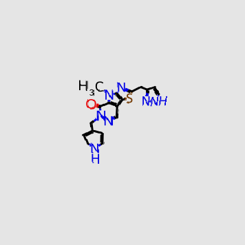 Cn1c2nc(Cc3cc[nH]n3)sc2c2cnn(CC3=CCNC=C3)c(=O)c21